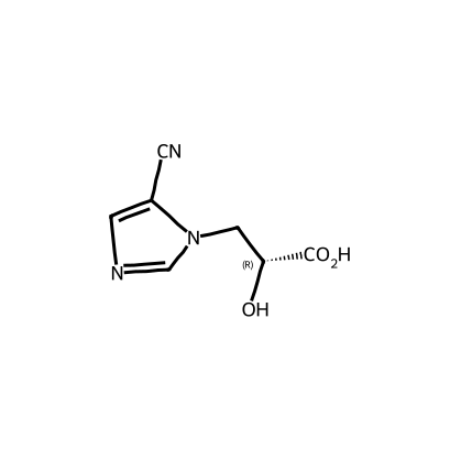 N#Cc1cncn1C[C@@H](O)C(=O)O